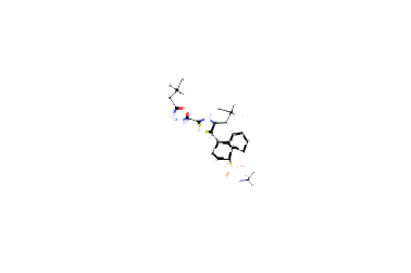 COC(C)(C)Cc1nc(-c2nnc(CC(C)(C)C(=O)O)o2)sc1-c1ccc(S(=O)(=O)NC(C)C(F)(F)F)c2ccccc12